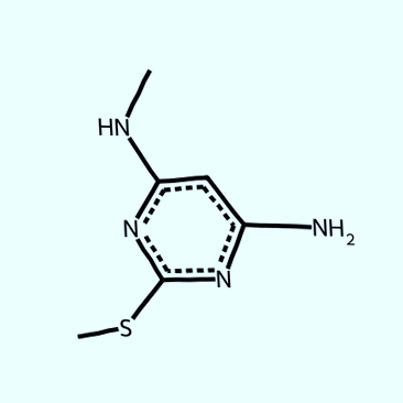 CNc1cc(N)nc(SC)n1